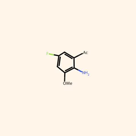 COc1cc(F)cc(C(C)=O)c1N